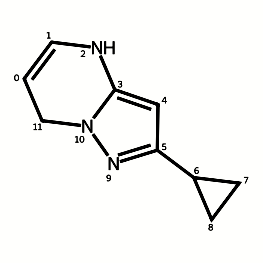 C1=CNc2cc(C3CC3)nn2C1